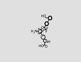 Nc1nc(O[C@H](c2ccc(-c3ccccc3CO)cc2)C(F)(F)F)cc(N2CCC3(CC2)CNC(C(=O)O)C3)n1